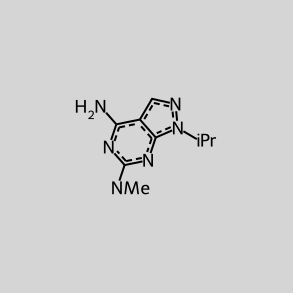 CNc1nc(N)c2cnn(C(C)C)c2n1